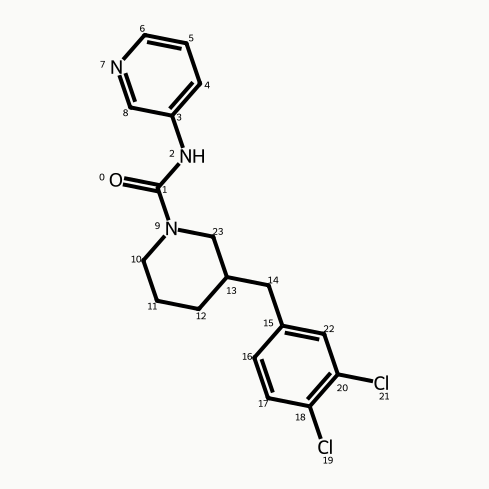 O=C(Nc1cccnc1)N1CCCC(Cc2ccc(Cl)c(Cl)c2)C1